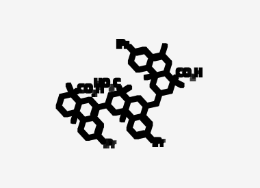 CC1=C2C=C(C(C)C)CCC2C2(C)CC(CC3CC4C(C)(C(=O)O)CC(C5=C6C=C(C(C)C)CCC6C6(C)CCCC(C)(C(=O)O)C6C5)CC4(C)C4CC=C(C(C)C)C=C34)CC(C)(C(=O)O)C2C1